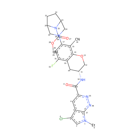 CCn1cc(Cl)c2cc(C(=O)N[C@H]3COc4c(C#N)c(N5CC6CCC(C5)N6C(=O)OC(C)(C)C)cc(F)c4C3)nnc21